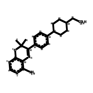 CC1(C)Oc2ncnc(N)c2N=C1c1ccc(C2CCC(CC(=O)O)CC2)cc1